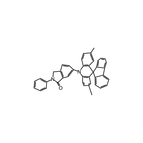 Cc1ccc2c(c1)C1(c3ccccc3-c3ccccc31)c1cc(C)ccc1N2c1ccc2c(c1)C(=O)N(c1ccccc1)C2